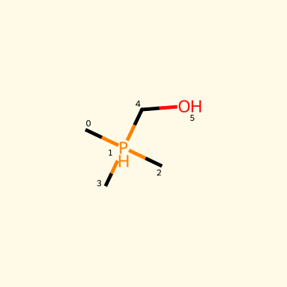 C[PH](C)(C)CO